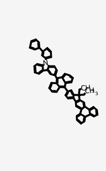 CCC1(CC)c2cc(-c3c4ccccc4c(-c4ccc5c(c4)c4ccccc4n5-c4cccc(-c5ccccc5)c4)c4ccccc34)ccc2-c2cc3c4ccccc4c4ccccc4c3cc21